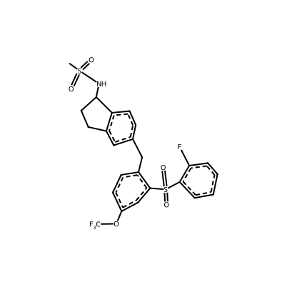 CS(=O)(=O)NC1CCc2cc(Cc3ccc(OC(F)(F)F)cc3S(=O)(=O)c3ccccc3F)ccc21